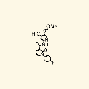 COCOc1cnc(NC(=O)c2cccn(-c3ccc(F)cc3)c2=O)cc1C